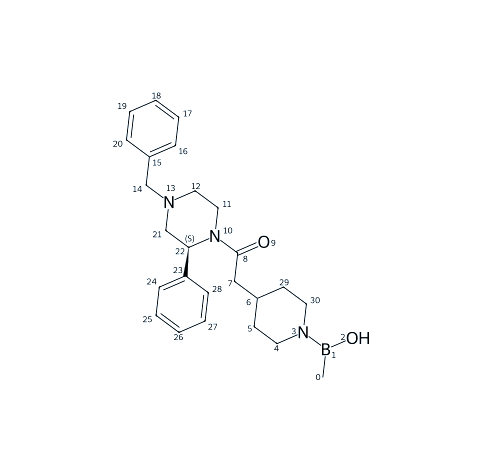 CB(O)N1CCC(CC(=O)N2CCN(Cc3ccccc3)C[C@@H]2c2ccccc2)CC1